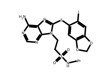 CC(C)NS(=O)(=O)CCn1c(Sc2cc3c(cc2I)OCO3)nc2c(N)ncnc21